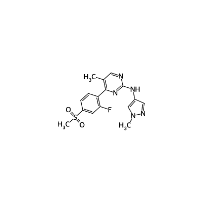 Cc1cnc(Nc2cnn(C)c2)nc1-c1ccc(S(C)(=O)=O)cc1F